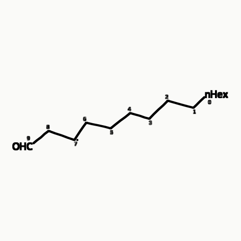 CCCCCCCCCCCC[CH]CC=O